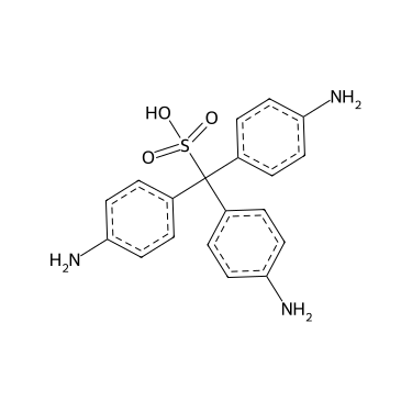 Nc1ccc(C(c2ccc(N)cc2)(c2ccc(N)cc2)S(=O)(=O)O)cc1